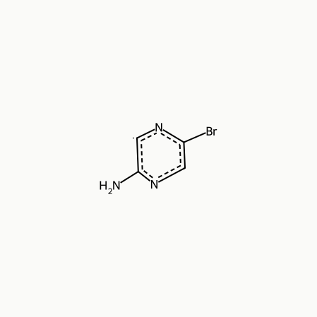 Nc1[c]nc(Br)cn1